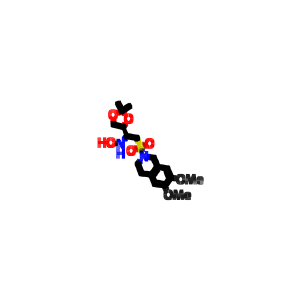 COc1cc2c(cc1OC)CN(S(=O)(=O)CC(NO)[C@H]1COC(C)(C)O1)CC2